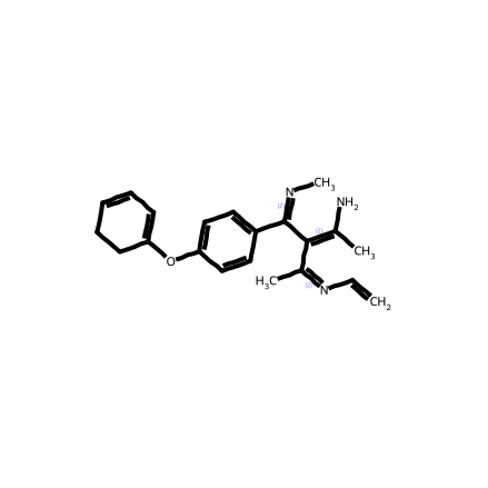 C=C\N=C(C)/C(C(=N\C)/c1ccc(OC2=CC=CCC2)cc1)=C(\C)N